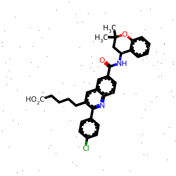 CC1(C)CC(NC(=O)c2ccc3nc(-c4ccc(Cl)cc4)c(CCCCC(=O)O)cc3c2)c2ccccc2O1